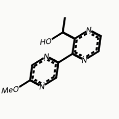 COc1cnc(-c2nccnc2C(C)O)cn1